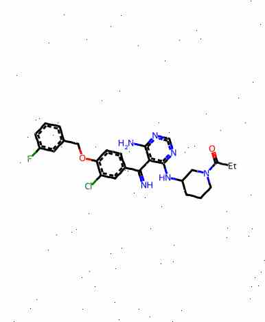 CCC(=O)N1CCCC(Nc2ncnc(N)c2C(=N)c2ccc(OCc3cccc(F)c3)c(Cl)c2)C1